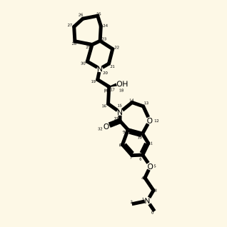 CN(C)CCOc1ccc2c(c1)OCCN(C[C@H](O)CN1CCC3CCCCCC3C1)C2=O